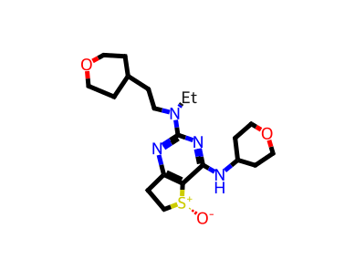 CCN(CCC1CCOCC1)c1nc2c(c(NC3CCOCC3)n1)[S@+]([O-])CC2